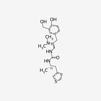 C[C@@H](Cc1ccsc1)NC(=O)NC[C@H](Cc1ccc(O)c(CO)c1)N(C)C